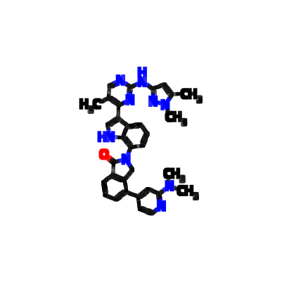 Cc1cnc(Nc2cc(C)n(C)n2)nc1-c1c[nH]c2c(N3Cc4c(cccc4-c4ccnc(N(C)C)c4)C3=O)cccc12